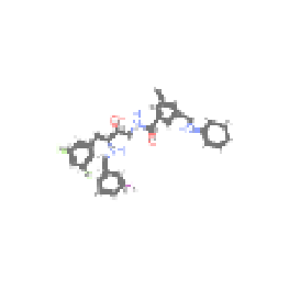 Cc1cc(CNC2CCCCC2)cc(C(=O)NCC(O)C(Cc2cc(F)cc(F)c2)NCc2cccc(I)c2)c1